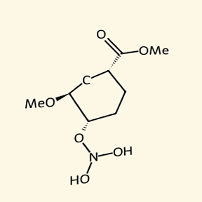 COC(=O)[C@@H]1CC[C@H](ON(O)O)[C@@H](OC)C1